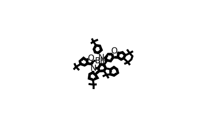 CC(C)(C)c1ccc(Nc2cc3oc4cc5c(cc4c3cc2-c2c3c(c4c6cc(C(C)(C)C)ccc6n6c4c2Bc2oc4ccc(C(C)(C)C)cc4c2-6)C(C)(C)c2ccccc2-3)C(C)(C)CCC5(C)C)cc1